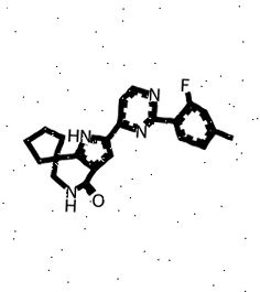 Cc1ccc(-c2nccc(-c3cc4c([nH]3)C3(CCCC3)CNC4=O)n2)c(F)c1